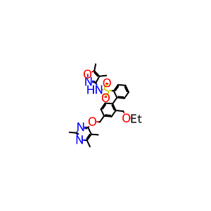 CCOCc1cc(COc2nc(C)nc(C)c2C)ccc1-c1ccccc1S(=O)(=O)Nc1noc(C)c1C